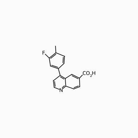 Cc1ccc(-c2ccnc3ccc(C(=O)O)cc23)cc1F